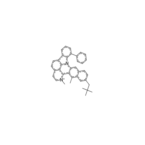 Cc1c2cc(CC(C)(C)C)ccc2cc2c1c1c3c(ccc4c5cccc(-c6ccccc6)c5n2c43)cc[n+]1C